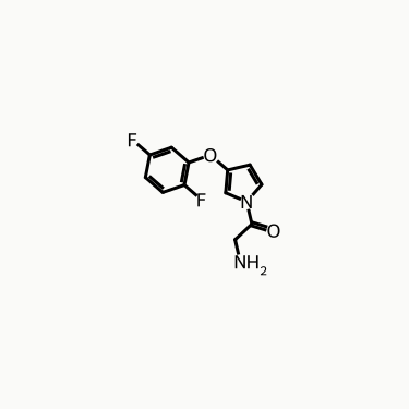 NCC(=O)n1ccc(Oc2cc(F)ccc2F)c1